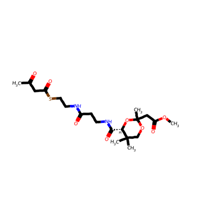 COC(=O)CC1(C)OCC(C)(C)[C@H](C(=O)NCCC(=O)NCCSC(=O)CC(C)=O)O1